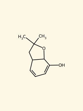 CC1(C)CC2C=CC=C(O)C2O1